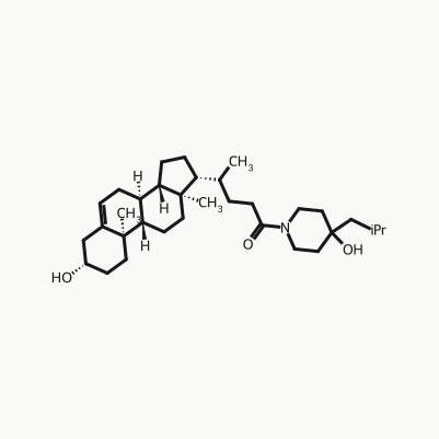 CC(C)CC1(O)CCN(C(=O)CCC(C)[C@H]2CC[C@H]3[C@@H]4CC=C5C[C@@H](O)CC[C@]5(C)[C@H]4CC[C@]23C)CC1